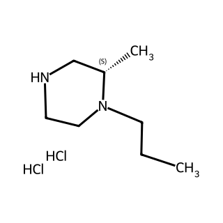 CCCN1CCNC[C@@H]1C.Cl.Cl